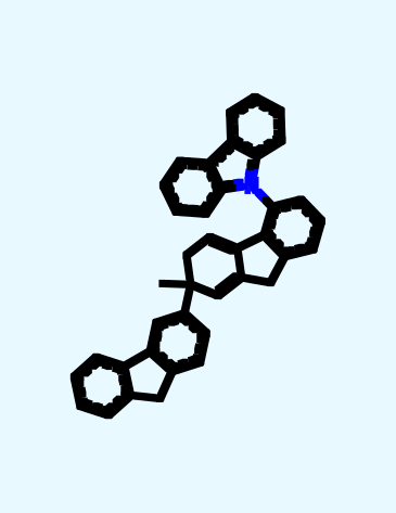 CC1(c2ccc3c(c2)-c2ccccc2C3)C=C2Cc3cccc(-n4c5ccccc5c5ccccc54)c3C2=CC1